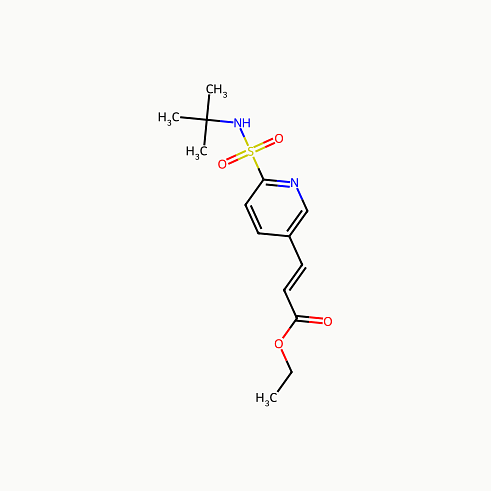 CCOC(=O)C=Cc1ccc(S(=O)(=O)NC(C)(C)C)nc1